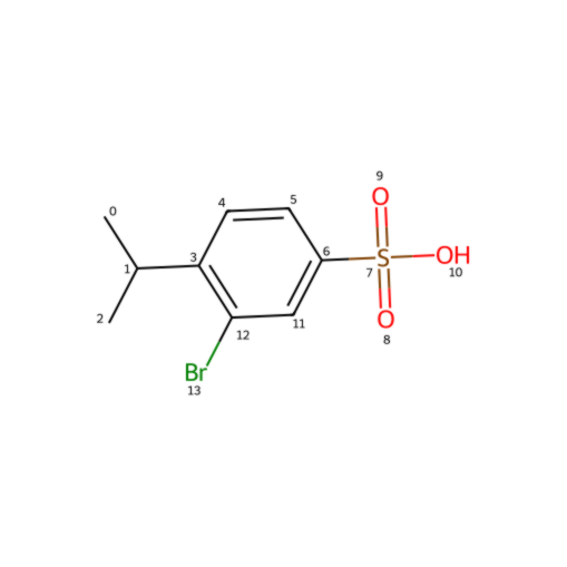 CC(C)c1ccc(S(=O)(=O)O)cc1Br